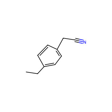 CCc1ccc(CC#N)cc1